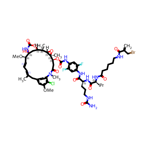 C=C(CBr)C(=O)NCCCCCC(=O)N[C@H](C(=O)N[C@@H](CCCNC(N)=O)C(=O)Nc1cc(F)c(NC(=O)O[C@H]2CC(=O)N(C)c3cc(cc(OC)c3Cl)C/C(C)=C/C=C/[C@@H](OC)[C@@]3(O)C[C@H](OC(=O)N3)[C@@H](C)[C@@H]3O[C@@]23C)cc1F)C(C)C